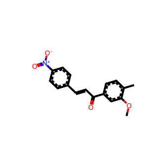 COc1cc(C(=O)/C=C/c2ccc([N+](=O)[O-])cc2)ccc1C